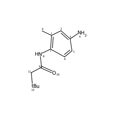 Cc1cc(N)ccc1NC(=O)CC(C)(C)C